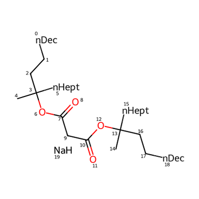 CCCCCCCCCCCCC(C)(CCCCCCC)OC(=O)CC(=O)OC(C)(CCCCCCC)CCCCCCCCCCCC.[NaH]